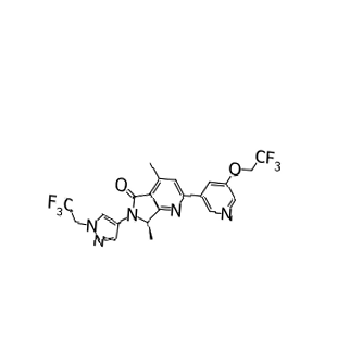 Cc1cc(-c2cncc(OCC(F)(F)F)c2)nc2c1C(=O)N(c1cnn(CC(F)(F)F)c1)[C@@H]2C